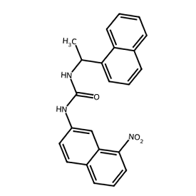 CC(NC(=O)Nc1ccc2cccc([N+](=O)[O-])c2c1)c1cccc2ccccc12